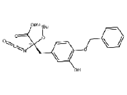 COC(=O)[C@@](Cc1ccc(OCc2ccccc2)c(O)c1)(N=C=O)OC(C)(C)C